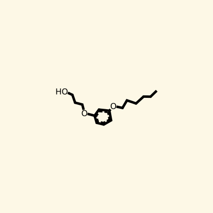 CCCCCCOc1cccc(OCCCO)c1